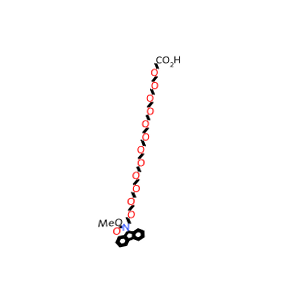 COC(=O)N(CCOCCOCCOCCOCCOCCOCCOCCOCCOCCOCCOCCOCCC(=O)O)C1c2ccccc2-c2ccccc21